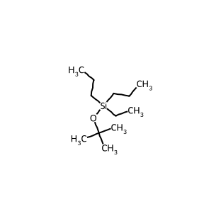 CCC[Si](CC)(CCC)OC(C)(C)C